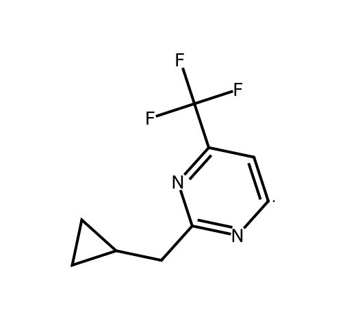 FC(F)(F)c1c[c]nc(CC2CC2)n1